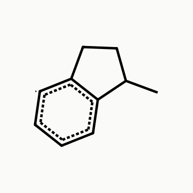 CC1CCc2[c]cccc21